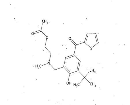 CC(=O)OCCN(C)Cc1cc(C(=O)c2cccs2)cc(C(C)(C)C)c1O